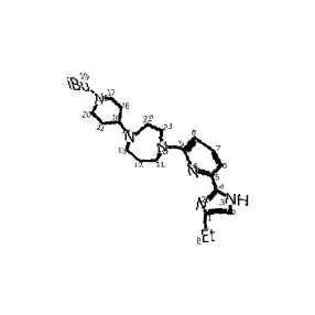 CCc1c[nH]c(-c2cccc(N3CCCN(C4CCN([C@H](C)CC)CC4)CC3)n2)n1